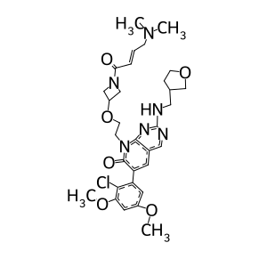 COc1cc(OC)c(Cl)c(-c2cc3cnc(NCC4CCOC4)nc3n(CCOC3CN(C(=O)/C=C/CN(C)C)C3)c2=O)c1